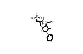 C/C(=C\P(=O)(O)O)C[C@H]1O[C@@H](c2ccccc2)[C@H](F)[C@@H]1OC(C)C